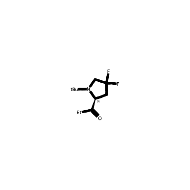 CCC(=O)[C@@H]1CC(F)(F)CN1C(C)(C)C